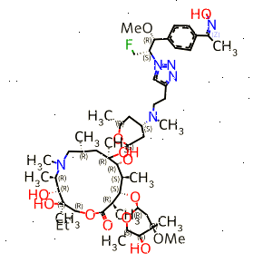 CC[C@H]1OC(=O)[C@H](C)[C@@H](O[C@H]2C[C@@](C)(OC)[C@@H](O)[C@H](C)O2)[C@H](C)[C@@H](O[C@H]2C[C@@H](N(C)CCc3cn([C@H](CF)[C@H](OC)c4ccc(/C(C)=N\O)cc4)nn3)C[C@@H](C)O2)[C@](C)(O)C[C@@H](C)CN(C)[C@H](C)[C@@H](O)[C@]1(C)O